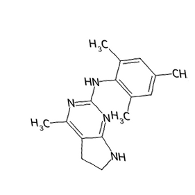 Cc1cc(C)c(Nc2nc(C)c3c(n2)NCC3)c(C)c1